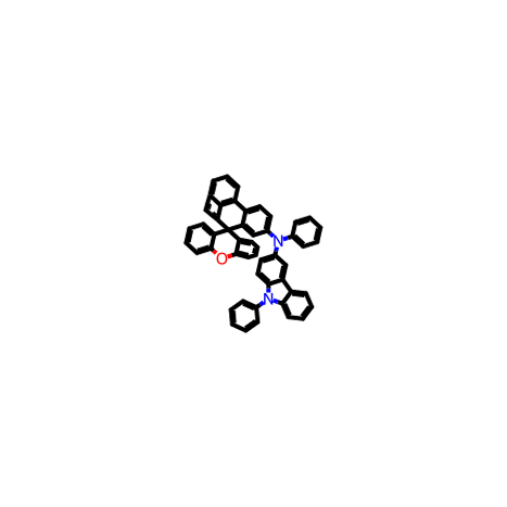 c1ccc(N(c2ccc3c(c2)C2(c4ccccc4Oc4ccccc42)c2cccc4cccc-3c24)c2ccc3c(c2)c2ccccc2n3-c2ccccc2)cc1